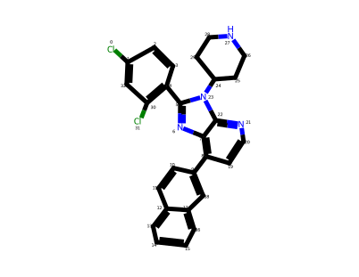 Clc1ccc(-c2nc3c(-c4ccc5ccccc5c4)ccnc3n2C2CCNCC2)c(Cl)c1